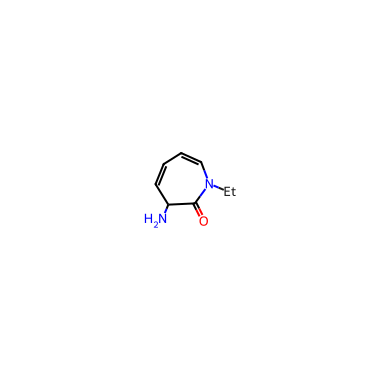 CCN1C=CC=CC(N)C1=O